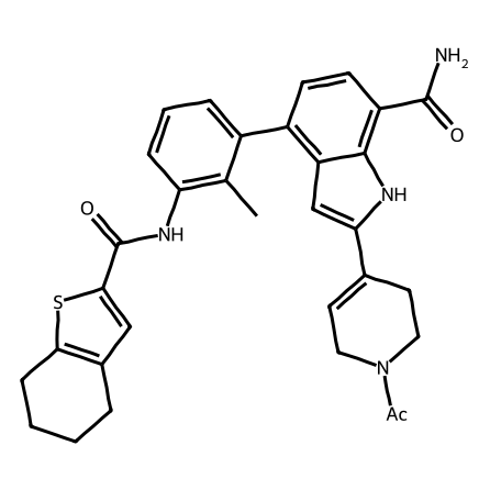 CC(=O)N1CC=C(c2cc3c(-c4cccc(NC(=O)c5cc6c(s5)CCCC6)c4C)ccc(C(N)=O)c3[nH]2)CC1